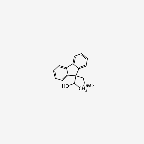 COCC1(C(C)O)c2ccccc2-c2ccccc21